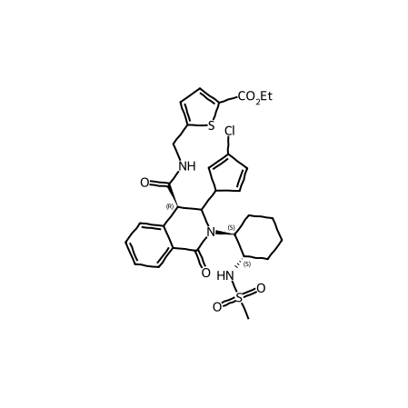 CCOC(=O)c1ccc(CNC(=O)[C@@H]2c3ccccc3C(=O)N([C@H]3CCCC[C@@H]3NS(C)(=O)=O)C2C2C=CC(Cl)=C2)s1